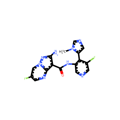 [13CH3]n1cncc1-c1c(F)cncc1NC(=O)c1c(N)nn2cc(F)cnc12